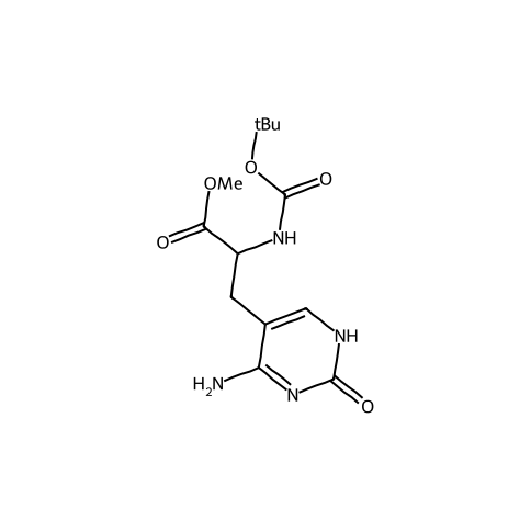 COC(=O)C(Cc1c[nH]c(=O)nc1N)NC(=O)OC(C)(C)C